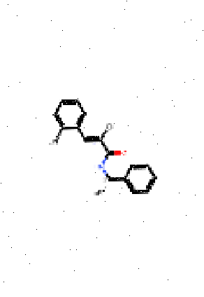 CCC[C@H](NC(=O)/C(C#N)=C/c1ccccc1N=O)c1ccccc1